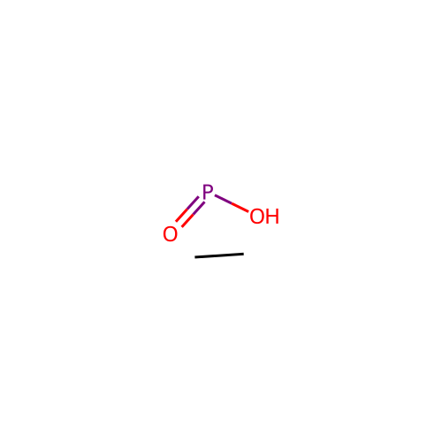 CC.O=PO